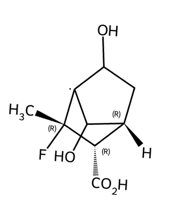 C[C@@]1(F)[C]2C(O)C[C@@H](C2O)[C@@H]1C(=O)O